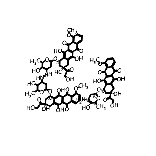 COc1cccc2c1C(=O)c1c(O)c3c(c(O)c1C2=O)C[C@@](O)(C(=O)CO)C[C@@H]3OC1CC(NNC2CC(O[C@H]3C[C@](O)(C(=O)CO)Cc4c(O)c5c(c(O)c43)C(=O)c3c(OC)cccc3C5=O)OC(C)C2O)C(O)C(C)O1.COc1cccc2c1C(=O)c1c(O)c3c(c(O)c1C2=O)C[C@@](O)(C(=O)CO)C[C@@H]3O[C@H]1C[C@H](N)[C@H](O)[C@H](C)O1